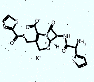 NC(C(=O)NC1C(=O)N2C(C(=O)[O-])=C(CSC(=O)c3nccs3)CS[C@H]12)c1cccs1.[K+]